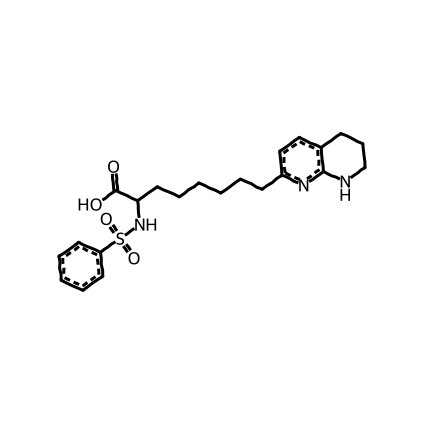 O=C(O)C(CCCCCCc1ccc2c(n1)NCCC2)NS(=O)(=O)c1ccccc1